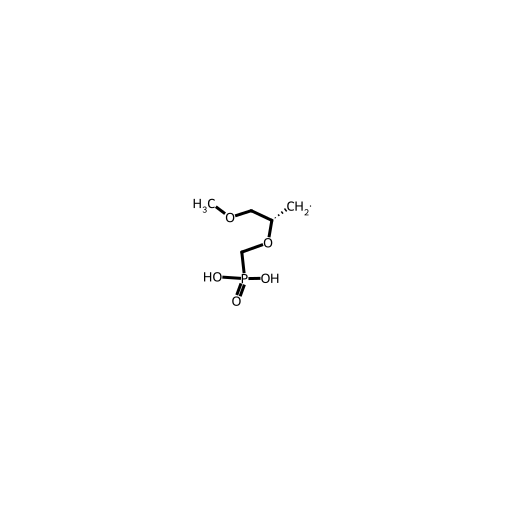 [CH2][C@@H](COC)OCP(=O)(O)O